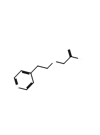 O=C(O)CSCCc1ccncc1